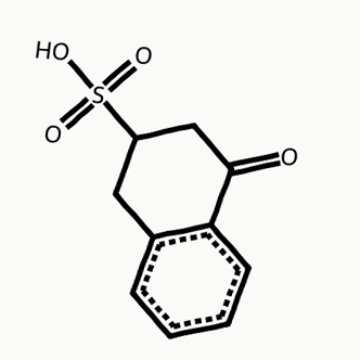 O=C1CC(S(=O)(=O)O)Cc2ccccc21